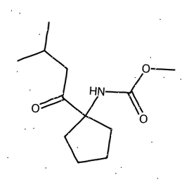 COC(=O)NC1(C(=O)CC(C)C)CCCC1